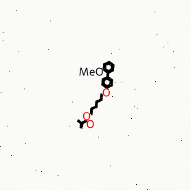 C=C(C)C(=O)OCCCCCCOc1ccc(-c2ccccc2OC)cc1